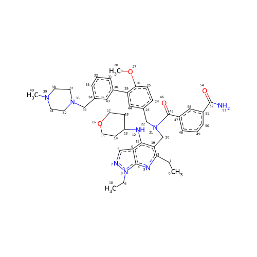 CCc1nc2c(cnn2CC)c(NC2CCOCC2)c1CN(Cc1ccc(OC)c(-c2cccc(CN3CCN(C)CC3)c2)c1)C(=O)c1cccc(C(N)=O)c1